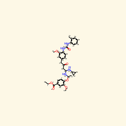 CCOC(=O)c1ccc(OC(C)NC(CC(=O)Cc2ccc(NC(=O)Nc3ccccc3C)c(OC)c2)NC2CC2)c(OC)c1